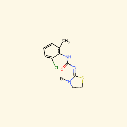 CCN1CCSC1=NC(=O)Nc1c(C)cccc1Cl